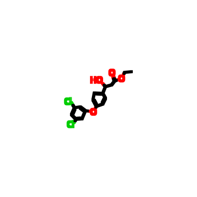 CCOC(=O)CC(O)c1ccc(Oc2cc(Cl)cc(Cl)c2)cc1